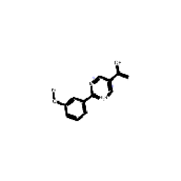 C=C(O)C(/C=N\C(=C)c1cccc(OCC)c1)=C/N